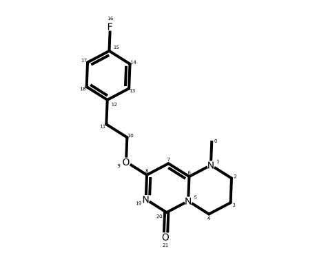 CN1CCCn2c1cc(OCCc1ccc(F)cc1)nc2=O